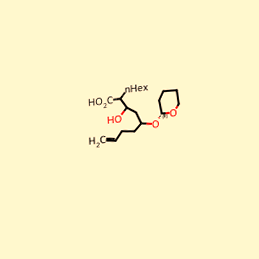 C=CCCC(CC(O)C(CCCCCC)C(=O)O)O[C@@H]1CCCCO1